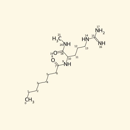 CCCCCCCC(=O)NC(CCCNC(=N)N)C(=O)NC